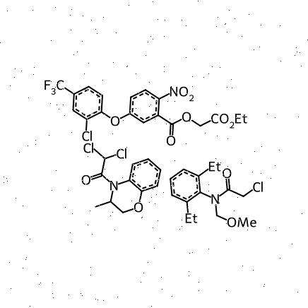 CC1COc2ccccc2N1C(=O)C(Cl)Cl.CCOC(=O)COC(=O)c1cc(Oc2ccc(C(F)(F)F)cc2Cl)ccc1[N+](=O)[O-].CCc1cccc(CC)c1N(COC)C(=O)CCl